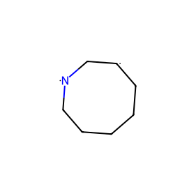 [CH]1CCCCC[N]C1